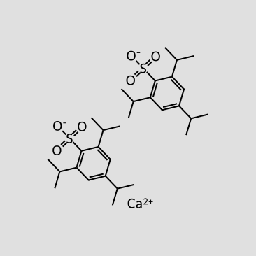 CC(C)c1cc(C(C)C)c(S(=O)(=O)[O-])c(C(C)C)c1.CC(C)c1cc(C(C)C)c(S(=O)(=O)[O-])c(C(C)C)c1.[Ca+2]